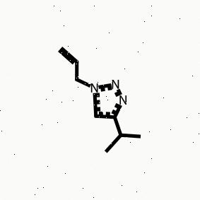 C=CCn1cc(C(C)C)nn1